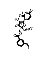 [N-]=[N+]=N[C@]1(COC(=O)c2cccc(CI)c2)OC(n2ccc(=O)[nH]c2=O)[C@H](O)[C@@H]1F